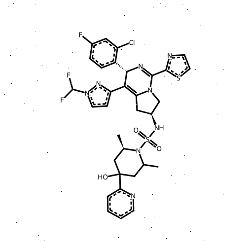 CC1CC(O)(c2ccccn2)C[C@@H](C)N1S(=O)(=O)N[C@H]1CC2=C(c3ccn(C(F)F)n3)[C@H](c3ccc(F)cc3Cl)N=C(c3nccs3)N2C1